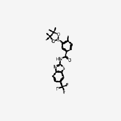 Cc1ccc(C(=O)Nc2nc3ccc(C(F)(F)F)cc3s2)cc1B1OC(C)(C)C(C)(C)O1